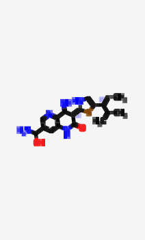 C=C(C)/C(=C\C)C1=CN/C(=C2\C(=N)c3ncc(C(N)O)cc3NC2=O)S1